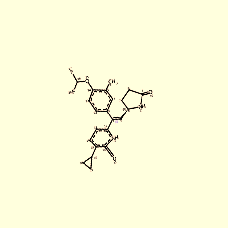 Cc1cc(/C(=C\[C@H]2CCC(=O)N2)c2ccc(C3CC3)c(=O)[nH]2)ccc1OC(F)F